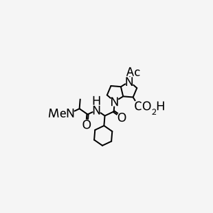 CNC(C)C(=O)NC(C(=O)N1CCC2C1C(C(=O)O)CN2C(C)=O)C1CCCCC1